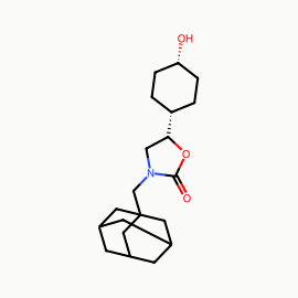 O=C1OC([C@H]2CC[C@@H](O)CC2)CN1CC12CC3CC(CC(C3)C1)C2